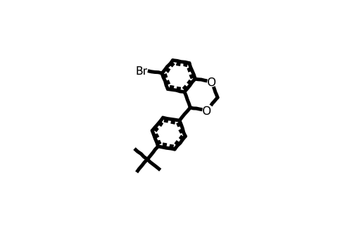 CC(C)(C)c1ccc(C2OCOc3ccc(Br)cc32)cc1